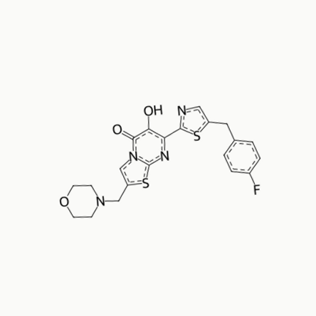 O=c1c(O)c(-c2ncc(Cc3ccc(F)cc3)s2)nc2sc(CN3CCOCC3)cn12